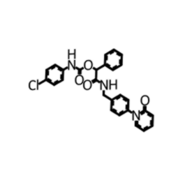 O=C(Nc1ccc(Cl)cc1)OC(C(=O)NCc1ccc(-n2ccccc2=O)cc1)c1ccccc1